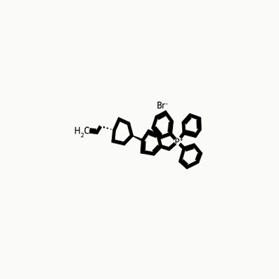 C=CC[C@H]1CC[C@H](c2ccc(C[P+](c3ccccc3)(c3ccccc3)c3ccccc3)cc2)CC1.[Br-]